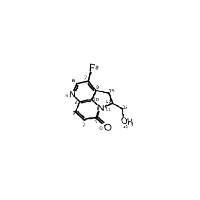 O=c1ccc2ncc(F)c3c2n1C(CO)C3